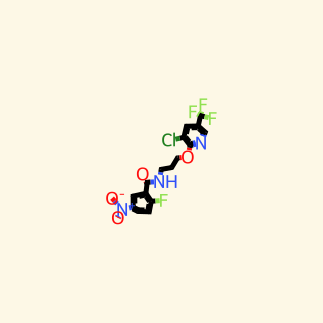 O=C(NCCCOc1ncc(C(F)(F)F)cc1Cl)c1cc([N+](=O)[O-])ccc1F